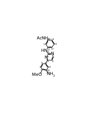 COc1ccc(-c2ccnc(Nc3cccc(NC(C)=O)c3)n2)cc1N